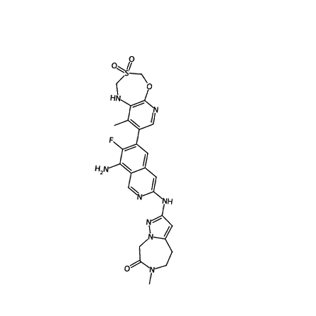 Cc1c(-c2cc3cc(Nc4cc5n(n4)CC(=O)N(C)CC5)ncc3c(N)c2F)cnc2c1NCS(=O)(=O)CO2